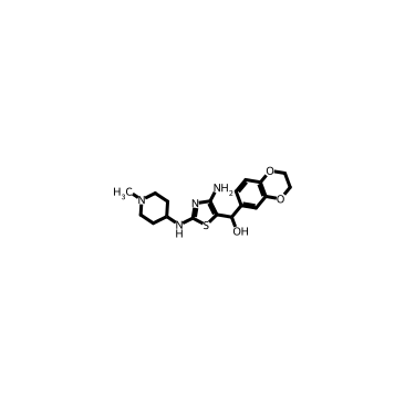 CN1CCC(Nc2nc(N)c(C(O)c3ccc4c(c3)OCCO4)s2)CC1